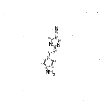 N#Cc1cnc(SCc2ccc(N)cc2)nc1